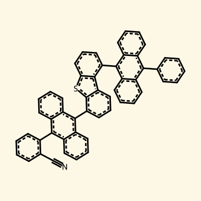 N#Cc1ccccc1-c1c2ccccc2c(-c2cccc3c2sc2cccc(-c4c5ccccc5c(-c5ccccc5)c5ccccc45)c23)c2ccccc12